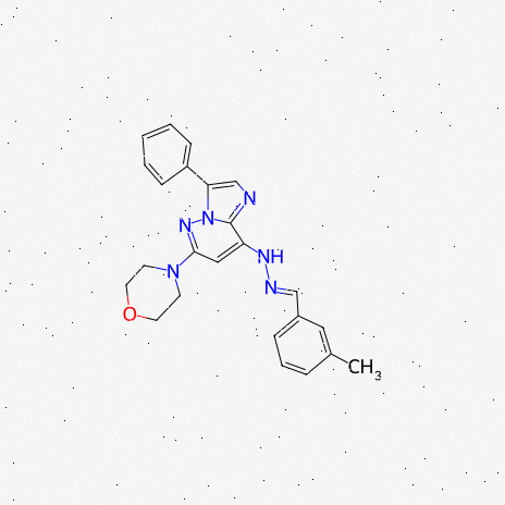 Cc1cccc(C=NNc2cc(N3CCOCC3)nn3c(-c4ccccc4)cnc23)c1